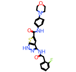 O=C(Cc1ccccc1F)Nc1n[nH]c2sc(C(=O)Nc3ccc(N4CCOCC4)cc3)cc12